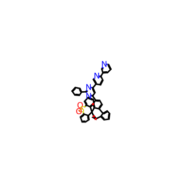 O=S1(=O)c2ccccc2C2(c3ccccc3-c3ccccc3-c3ccc(-c4cc(-c5ccc(-c6cccnc6)nc5)nc(-c5ccccc5)n4)cc32)c2ccccc21